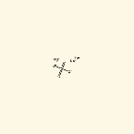 O=S(=O)([O-])[O-].[Fe+2].[Mg+2].[Na+]